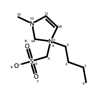 CCCC[N+]1(CS(=O)(=O)[O-])C=CN(C)C1